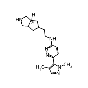 Cc1cnn(C)c1-c1ccc(NCCC2CC3CNC[C@H]3C2)nn1